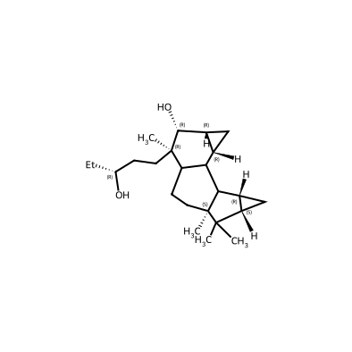 CC[C@@H](O)CC[C@]1(C)C2CC[C@@]3(C)C(C2[C@H]2C[C@H]2[C@H]1O)[C@@H]1C[C@@H]1C3(C)C